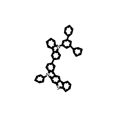 c1ccc(-c2cc(-c3ccccc3)cc(-n3c4ccccc4c4cc(-c5ccc6c(c5)c5cc7c(cc5n6-c5ccccc5)sc5ccccc57)ccc43)c2)cc1